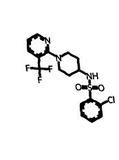 O=S(=O)(NC1CCN(c2ncccc2C(F)(F)F)CC1)c1ccccc1Cl